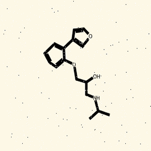 CC(C)NCC(O)COc1ccccc1-c1ccoc1